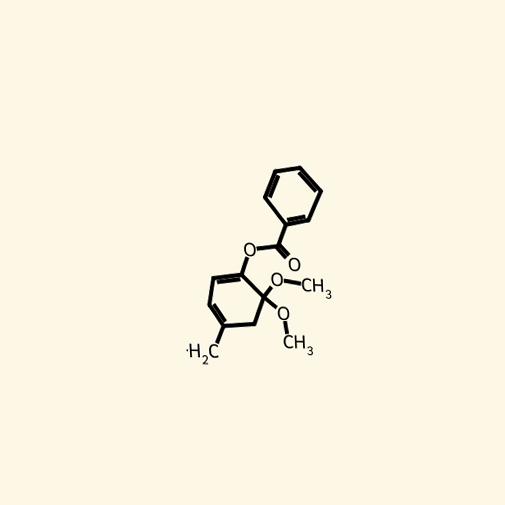 [CH2]C1=CC=C(OC(=O)c2ccccc2)C(OC)(OC)C1